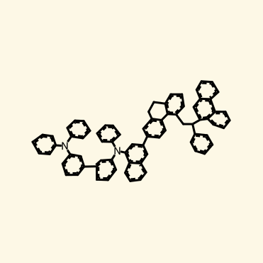 c1ccc(C(Cc2cccc3c2-c2ccc(-c4cc(N(c5ccccc5)c5cccc(-c6cccc(N(c7ccccc7)c7ccccc7)c6)c5)c5ccccc5c4)cc2CC3)c2cc3ccccc3c3ccccc23)cc1